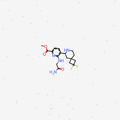 COC(=O)c1ccc(C2CC3(CCN2)CC(F)(F)C3)c(NCC(N)=O)n1